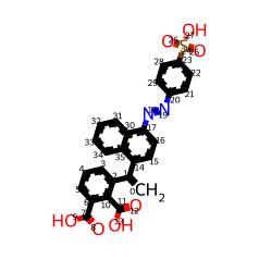 C=C(c1cccc(C(=O)O)c1C(=O)O)c1ccc(N=Nc2ccc(S(=O)(=O)O)cc2)c2ccccc12